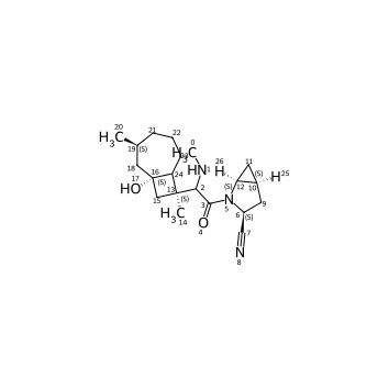 CNC(C(=O)N1[C@H](C#N)C[C@@H]2C[C@@H]21)[C@@]1(C)C[C@@]2(O)C[C@@H](C)CCCC21